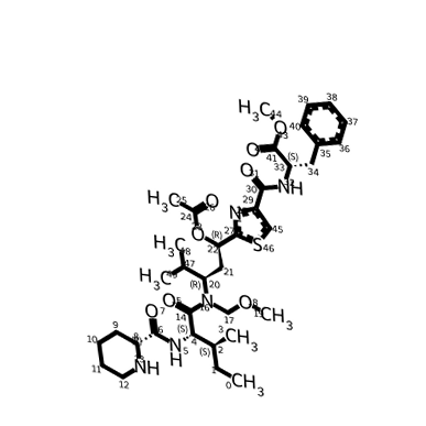 CC[C@H](C)[C@H](NC(=O)[C@H]1CCCCN1)C(=O)N(COC)[C@H](C[C@@H](OC(C)=O)c1nc(C(=O)N[C@@H](Cc2ccccc2)C(=O)OC)cs1)C(C)C